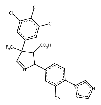 N#Cc1cc(C2N=CC(c3cc(Cl)c(Cl)c(Cl)c3)(C(F)(F)F)C2C(=O)O)ccc1-n1cncn1